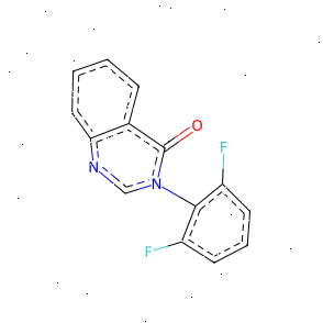 O=c1c2ccccc2ncn1-c1c(F)cccc1F